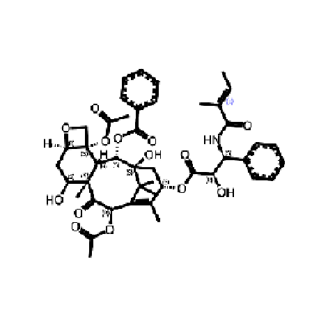 C/C=C(\C)C(=O)N[C@@H](c1ccccc1)[C@@H](O)C(=O)O[C@H]1C[C@@]2(O)[C@@H](OC(=O)c3ccccc3)[C@@H]3[C@]4(OC(C)=O)CO[C@@H]4C[C@H](O)[C@@]3(C)C(=O)[C@H](OC(C)=O)C(=C1C)C2(C)C